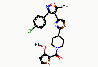 CCOc1ccsc1C(=O)N1CCC(c2nc(-c3c(-c4ccc(Cl)cc4)noc3C)cs2)CC1